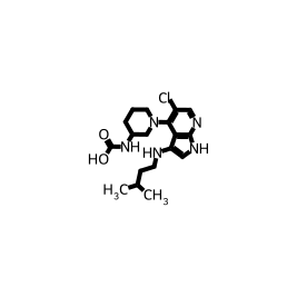 CC(C)CCNc1c[nH]c2ncc(Cl)c(N3CCCC(NC(=O)O)C3)c12